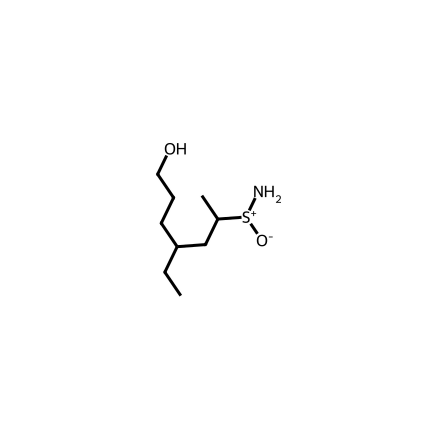 CCC(CCCO)CC(C)[S+](N)[O-]